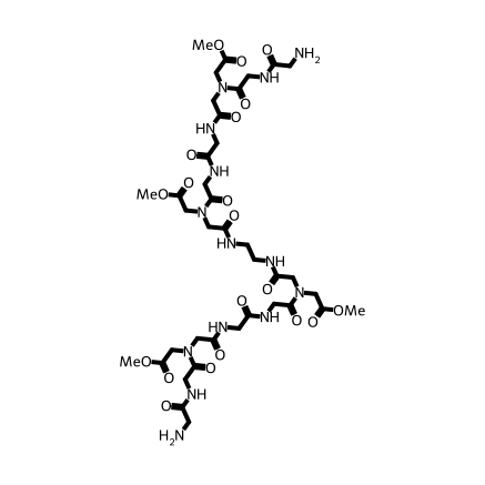 COC(=O)CN(CC(=O)NCCNC(=O)CN(CC(=O)OC)C(=O)CNC(=O)CNC(=O)CN(CC(=O)OC)C(=O)CNC(=O)CN)C(=O)CNC(=O)CNC(=O)CN(CC(=O)OC)C(=O)CNC(=O)CN